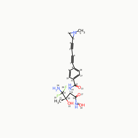 CN1CC1C#CC#Cc1ccc(C(=O)N[C@H](C(=O)NO)[C@](C)(O)C(N)(F)F)cc1